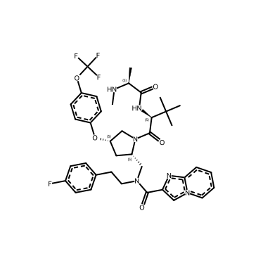 CN[C@@H](C)C(=O)N[C@H](C(=O)N1C[C@@H](Oc2ccc(OC(F)(F)F)cc2)C[C@H]1CN(CCc1ccc(F)cc1)C(=O)c1cn2ccccc2n1)C(C)(C)C